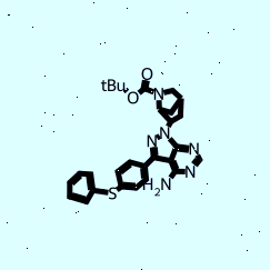 CC(C)(C)OC(=O)N1CC2CC1C(n1nc(-c3ccc(Sc4ccccc4)cc3)c3c(N)ncnc31)C2